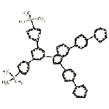 C[Si](C)(C)c1ccc(-c2cc(-c3ccc(S(C)(C)C)cc3)cc(-n3cc(-c4ccc(-c5ccccc5)cc4)c4cc(-c5ccc(-c6ccccc6)cc5)ccc43)c2)cc1